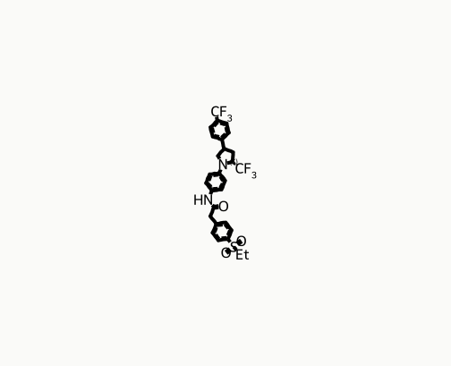 CCS(=O)(=O)c1ccc(CC(=O)Nc2ccc(N3CC(c4ccc(C(F)(F)F)cc4)C[C@H]3C(F)(F)F)cc2)cc1